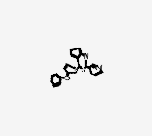 c1ccc(OC2CCN(c3nc(-c4cccnc4)nc4ccccc34)C2)cc1